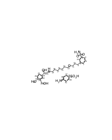 NS(=O)(=O)c1cccc(CCCOCCCCCCCNC[C@H](O)c2ccc(O)c(CO)c2)c1.Nc1ccc(S(=O)(=O)O)cc1